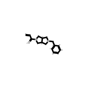 C=CC(=O)N1CC2CN(Cc3ccccc3)CC2C1